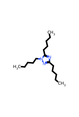 CCCCCc1nc(CCCCC)n(CCCCC)n1